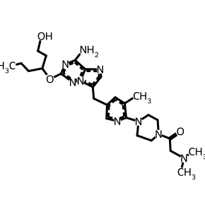 CCCC(CCO)Oc1nc(N)c2ncc(Cc3cnc(N4CCN(C(=O)CN(C)C)CC4)c(C)c3)n2n1